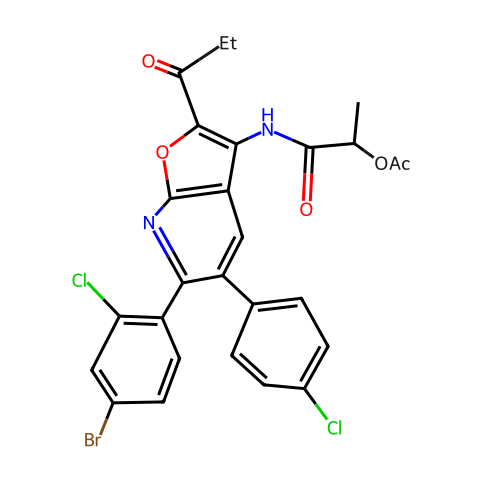 CCC(=O)c1oc2nc(-c3ccc(Br)cc3Cl)c(-c3ccc(Cl)cc3)cc2c1NC(=O)C(C)OC(C)=O